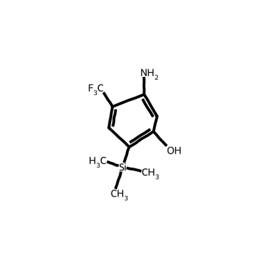 C[Si](C)(C)c1cc(C(F)(F)F)c(N)cc1O